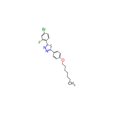 CCCCCCCOc1ccc(-c2nnc(-c3ccc(Br)cc3F)s2)cc1